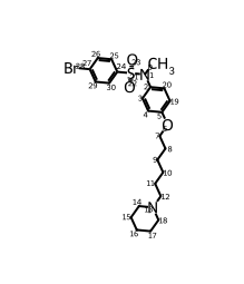 CN(c1ccc(OCCCCCCN2CCCCC2)cc1)S(=O)(=O)c1ccc(Br)cc1